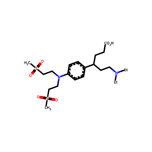 CCN(CC)CCC(CCC(=O)O)c1ccc(N(CCS(C)(=O)=O)CCS(C)(=O)=O)cc1